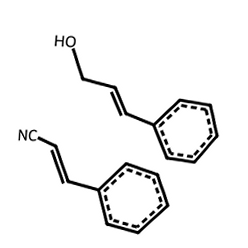 N#CC=Cc1ccccc1.OCC=Cc1ccccc1